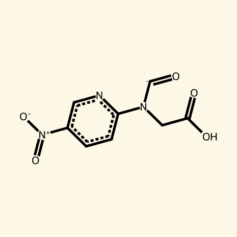 O=[C]N(CC(=O)O)c1ccc([N+](=O)[O-])cn1